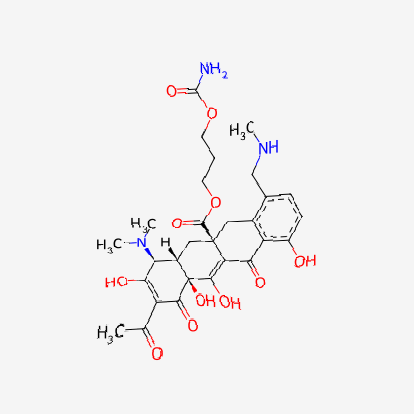 CNCc1ccc(O)c2c1C[C@@]1(C(=O)OCCCOC(N)=O)C[C@H]3[C@H](N(C)C)C(O)=C(C(C)=O)C(=O)[C@@]3(O)C(O)=C1C2=O